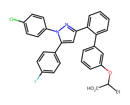 CCC(Oc1cccc(-c2ccccc2-c2cc(-c3ccc(F)cc3)n(-c3ccc(Cl)cc3)n2)c1)C(=O)O